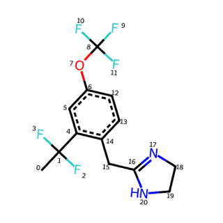 CC(F)(F)c1cc(OC(F)(F)F)ccc1CC1=NCCN1